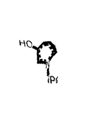 CC(C)n1ccc(O)c1